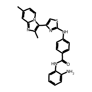 Cc1ccn2c(-c3csc(Nc4ccc(C(=O)Nc5ccccc5N)cc4)n3)c(C)nc2c1